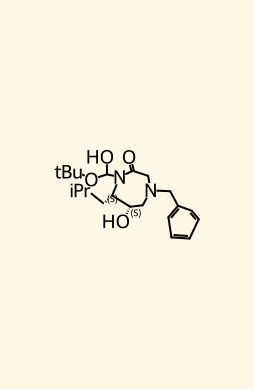 CC(C)C[C@H]1[C@@H](O)CN(Cc2ccccc2)CC(=O)N1C(O)OC(C)(C)C